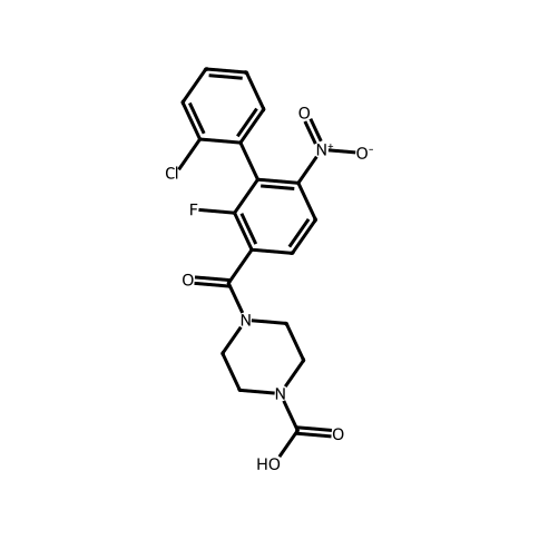 O=C(O)N1CCN(C(=O)c2ccc([N+](=O)[O-])c(-c3ccccc3Cl)c2F)CC1